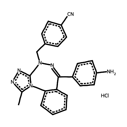 Cc1nnc2n1-c1ccccc1C(c1ccc(N)cc1)=NN2Cc1ccc(C#N)cc1.Cl